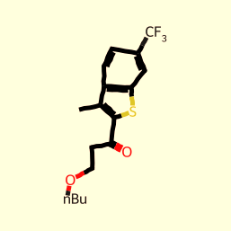 CCCCOCCC(=O)c1sc2cc(C(F)(F)F)ccc2c1C